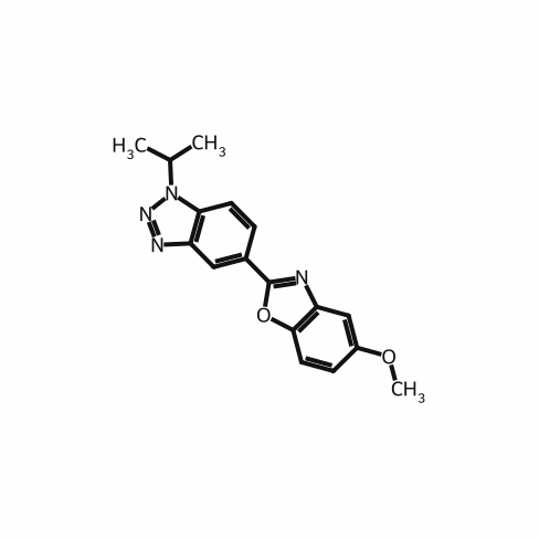 COc1ccc2oc(-c3ccc4c(c3)nnn4C(C)C)nc2c1